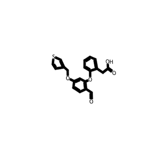 O=Cc1ccc(OCc2ccsc2)cc1Oc1ccccc1CC(=O)O